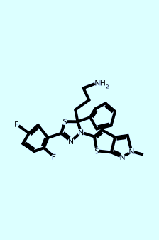 Cn1cc2cc(N3N=C(c4cc(F)ccc4F)SC3(CCCN)c3ccccc3)sc2n1